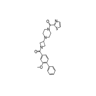 COc1cc(C(=O)N2CC(N3CCN(C(=O)c4nccs4)CC3)C2)ccc1-c1ccccc1